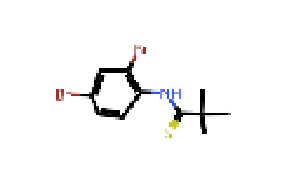 CC(C)(C)C(=S)Nc1ccc(Br)cc1Br